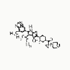 Cc1c(C2CCC(C(=O)C3(N4CCOCC4)CC3)CC2)sc2[nH]c(-c3cc(C)c4ncnn4c3)c(C(C)C)c12